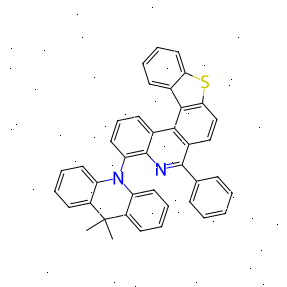 CC1(C)c2ccccc2N(c2cccc3c2nc(-c2ccccc2)c2ccc4sc5ccccc5c4c23)c2ccccc21